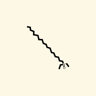 CCCCCCCCCCCCCCCCCC[N+]([O-])(CC)CC